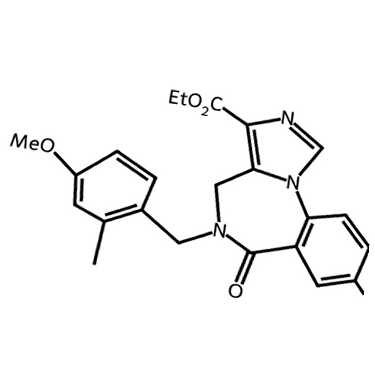 CCOC(=O)c1ncn2c1CN(Cc1ccc(OC)cc1C)C(=O)c1cc(F)ccc1-2